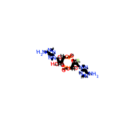 Nc1ncnc2c1ncn2[C@@H]1O[C@@H]2CO[PH](=O)O[C@H]3[C@@H](F)[C@H](n4cnc5c(N)ncnc54)O[C@@H]3CO[PH](=O)O[C@H]2[C@H]1O